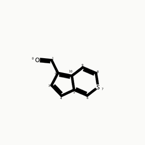 O=Cc1ccc2csccc1-2